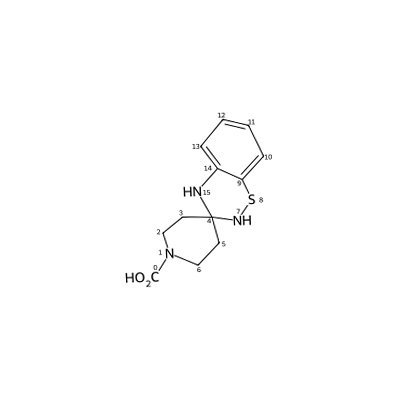 O=C(O)N1CCC2(CC1)NSc1ccccc1N2